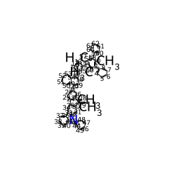 Cc1c(-c2ccccc2)c(C)c(-c2cccc(-c3ccc(-c4ccc5c(c4)C(C)(C)c4cc6c(cc4-5)c4ccccc4n6-c4ccccc4)c4ccccc34)c2)c(C)c1-c1ccccc1